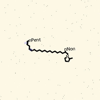 CCCCC/C=C\C/C=C\CCCCCCCCCCCCC(CCCCCCCCC)CN1CCCC1C